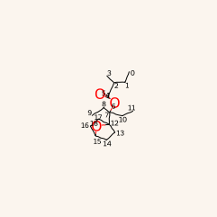 CCC(C)C(=O)OC(CC)(CC)C12CCC(CC1)O2